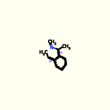 C=N/C(C)=c1/cccc/c1=C/C